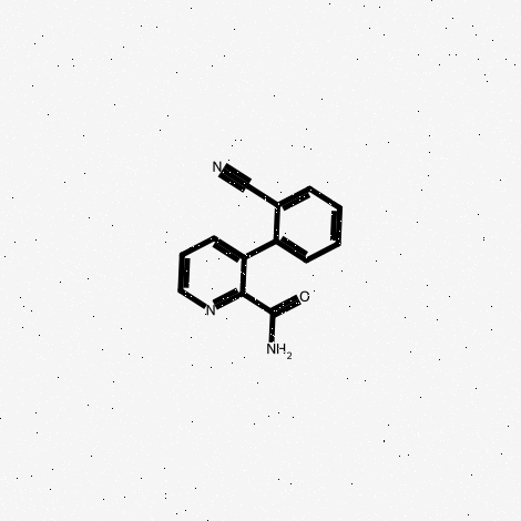 N#Cc1ccccc1-c1cccnc1C(N)=O